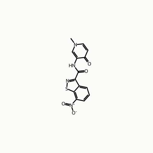 Cn1ccc(=O)c(NC(=O)c2nsc3c([N+](=O)[O-])cccc23)c1